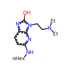 CCCCCCNc1ccc2nc(O)n(CCN(CC)CC)c2n1